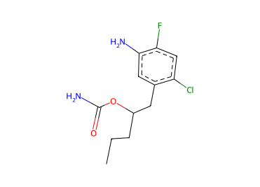 CCCC(Cc1cc(N)c(F)cc1Cl)OC(N)=O